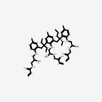 C=CC(=O)COC(O)COc1ccc(C)cc1[C@@](CC)(CCC)Cc1cc(C)cc(C(CC)(CC)Cc2cc(C)ccc2OCC(O)COC(=O)C=C)c1OCC(O)OCC(=O)C=C